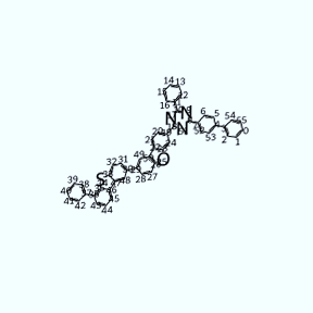 c1ccc(-c2ccc(-c3nc(-c4ccccc4)nc(-c4ccc5c(c4)oc4ccc(-c6ccc7sc8c(-c9ccccc9)cccc8c7c6)cc45)n3)cc2)cc1